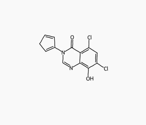 O=c1c2c(Cl)cc(Cl)c(O)c2ncn1C1=CCC=C1